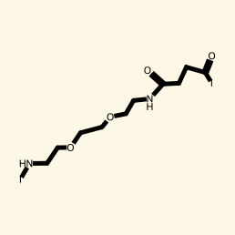 O=C(I)CCC(=O)NCCOCCOCCNI